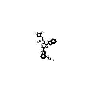 COc1cccc2[nH]c(C(=O)N[C@H](C(=O)N[C@H](C#N)C[C@@H]3CCNC3=O)C3=Cc4ccccc4C3)cc12